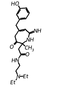 CCN(CC)CCNC(=O)CC1(C)NC(=N)C=C(Cc2cccc(O)c2)CC1=O